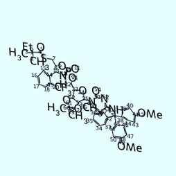 CCC(C)(C)C(=O)SCCOP(=O)(NCc1ccccc1C(F)(F)F)OC[C@H]1OC(n2ccc(NC(c3ccccc3)(c3ccc(OC)cc3)c3ccc(OC)cc3)nc2=O)[C@@]2(C)OC(C)(C)OC12